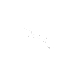 CCOC(=O)c1c(Oc2ccc(-c3ccc(-c4onc(C)c4NC(=O)O[C@H](C)c4ccccc4)cc3)cc2)ncn1COCC[Si](C)(C)C